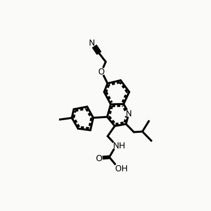 Cc1ccc(-c2c(CNC(=O)O)c(CC(C)C)nc3ccc(OCC#N)cc23)cc1